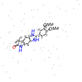 COc1ccc(C2Nc3cc4c(cc3N2)C(C)(C)C(=O)N4)cc1OC